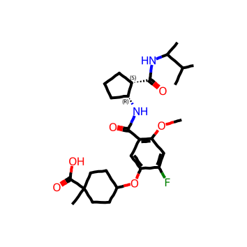 COc1cc(F)c(OC2CCC(C)(C(=O)O)CC2)cc1C(=O)N[C@@H]1CCC[C@@H]1C(=O)NC(C)C(C)C